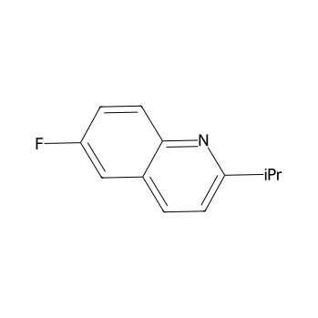 CC(C)c1ccc2cc(F)ccc2n1